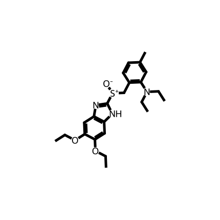 CCOc1cc2nc([S+]([O-])Cc3ccc(C)cc3N(CC)CC)[nH]c2cc1OCC